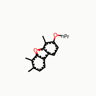 CCCOc1ccc2c(oc3c(C)c(C)ccc32)c1C